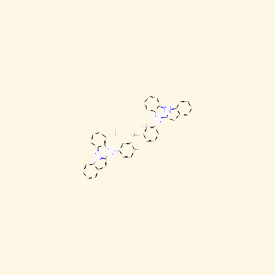 CC1(C)c2cc(-n3c4ccccc4n4c5ccccc5cc34)ccc2Oc2ccc(-n3c4ccccc4n4c5ccccc5cc34)cc21